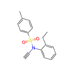 C#CN(c1ccccc1CC)S(=O)(=O)c1ccc(C)cc1